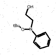 CC(C)(C)ON(CCO)c1ccccc1